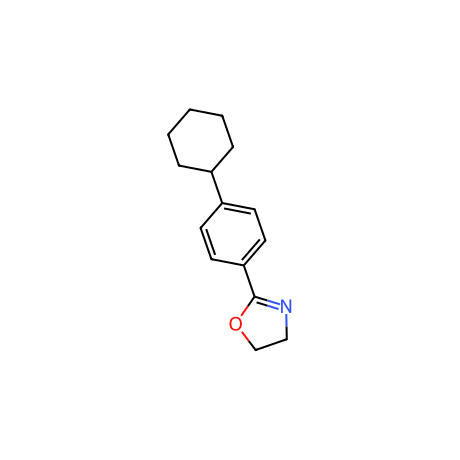 c1cc(C2CCCCC2)ccc1C1=NCCO1